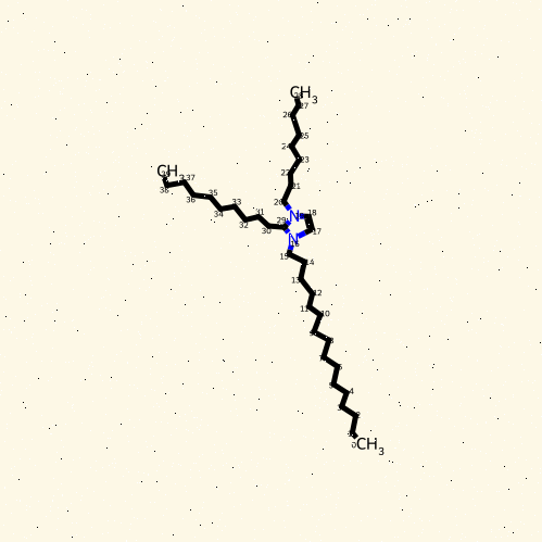 CCCCCCCCCCCCCCCCN1C=CN(CCCCCCCCC)C1CCCCCCCCCC